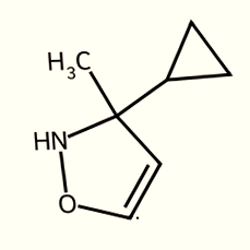 CC1(C2CC2)C=[C]ON1